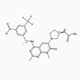 Cc1nc(N[C@H](C)c2cc([N+](=O)[O-])cc(C(F)(F)F)c2)c2cc(N3CC[C@@H](NC(=O)O)C3)c(=O)n(C)c2n1